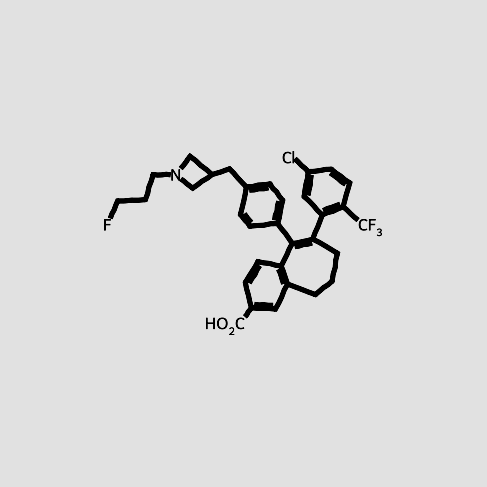 O=C(O)c1ccc2c(c1)CCCC(c1cc(Cl)ccc1C(F)(F)F)=C2c1ccc(CC2CN(CCCF)C2)cc1